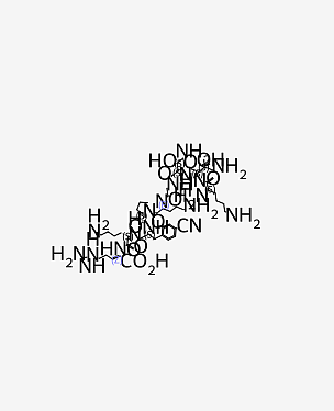 N#Cc1ccc(C[C@H](NC(=O)[C@@H]2CCCN2C(=O)/C(CCCN)=N/C(=O)CNC(=O)[C@@H](NC(=O)[C@@H](NC(=O)[C@@H](N)CCCCN)[C@@H](O)CN)[C@@H](O)CN)C(=O)N[C@@H](CCCCN)C(=O)N/C(=C\CCNC(=N)N)C(=O)O)cc1